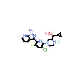 OC(C1CC1)C1CN(c2nc(-c3n[nH]c4ncccc34)c(F)cc2Cl)CCN1